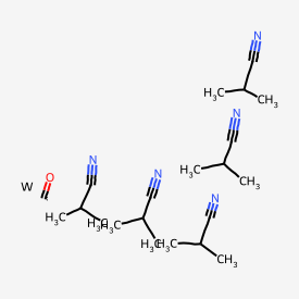 CC(C)C#N.CC(C)C#N.CC(C)C#N.CC(C)C#N.CC(C)C#N.[C]=O.[W]